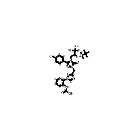 CC(C)(C)[Si](C)(C)OC(Cn1c(-c2ccc(Cl)cc2)nn(Cc2ncn(-c3ncccc3NC(=O)O)n2)c1=O)C(F)(F)F